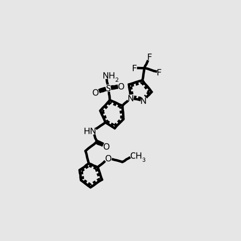 CCOc1ccccc1CC(=O)Nc1ccc(-n2cc(C(F)(F)F)cn2)c(S(N)(=O)=O)c1